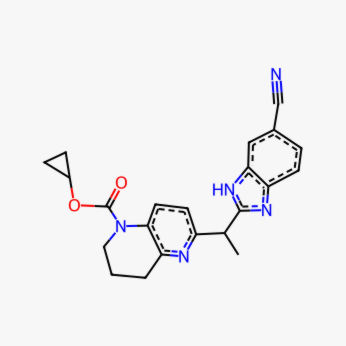 CC(c1ccc2c(n1)CCCN2C(=O)OC1CC1)c1nc2ccc(C#N)cc2[nH]1